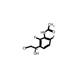 CC(=O)Nc1c(F)ccc([C@@H](O)CCl)c1F